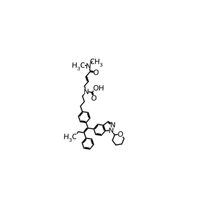 CCC(=C(c1ccc(CCCN(CC=CC(=O)N(C)C)C(=O)O)cc1)c1ccc2c(cnn2C2CCCCO2)c1)c1ccccc1